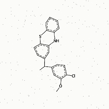 COc1cc(C(C)c2ccc3c(c2)Nc2ccccc2S3)ccc1Cl